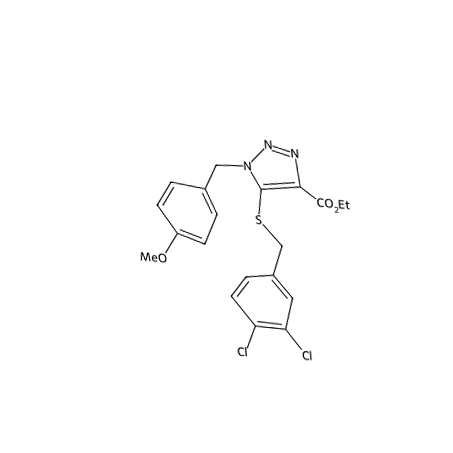 CCOC(=O)c1nnn(Cc2ccc(OC)cc2)c1SCc1ccc(Cl)c(Cl)c1